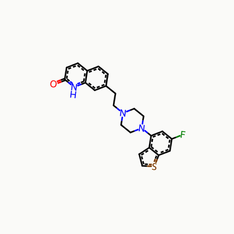 O=c1ccc2ccc(CCN3CCN(c4cc(F)cc5sccc45)CC3)cc2[nH]1